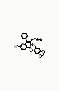 COCc1c(-c2ccccc2)c2cc(Br)ccc2c(=O)n1Cc1ccc2c(c1)OCO2